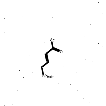 CCCCCCC=CC(=O)C(C)=O